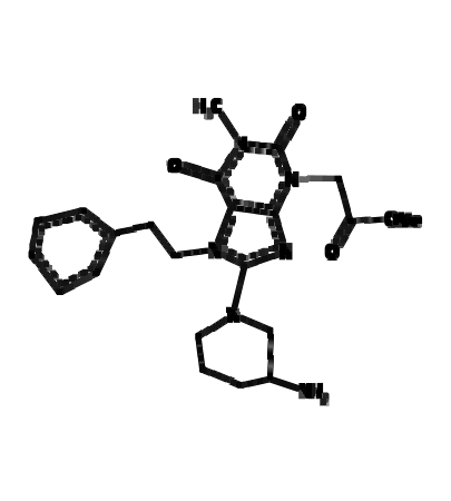 COC(=O)Cn1c(=O)n(C)c(=O)c2c1nc(N1CCCC(N)C1)n2CCc1ccccc1